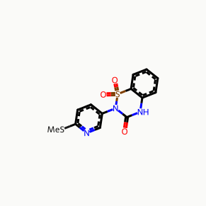 CSc1ccc(N2C(=O)Nc3ccccc3S2(=O)=O)cn1